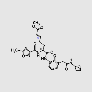 COC(=O)/C=C/CC[C@H](NC(=O)c1noc(C)n1)C(=O)Nc1cccn(CC(=O)NC23CC(C2)C3)c1=O